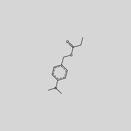 CCC(=O)OCc1ccc(N(C)C)cc1